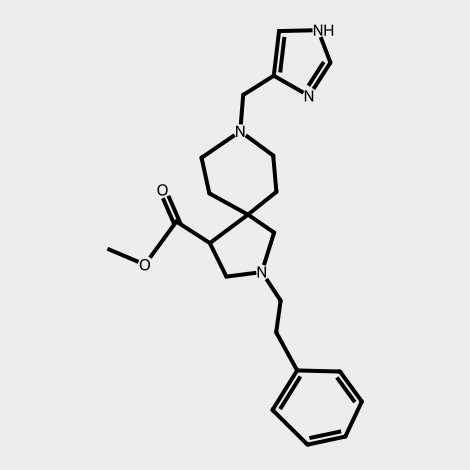 COC(=O)C1CN(CCc2ccccc2)CC12CCN(Cc1c[nH]cn1)CC2